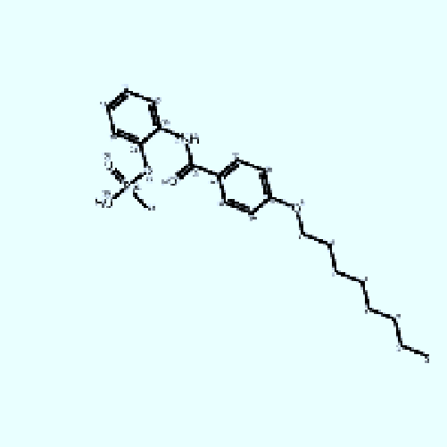 CCCCCCCCOc1ccc(C(=O)Nc2ccccc2OP(C)(=O)O)cc1